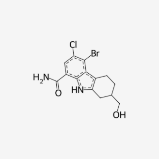 NC(=O)c1cc(Cl)c(Br)c2c3c([nH]c12)CC(CO)CC3